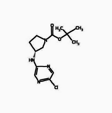 CC(C)(C)OC(=O)N1CC[C@@H](Nc2cnc(Cl)cn2)C1